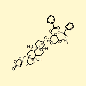 C[C@H]1CO[C@H](O[C@H]2CC[C@]3(C)C4CC[C@]5(C)[C@@H](C6=CC(=O)OC6)CC[C@]5(O)C4CC[C@@H]3C2)C(OC(=O)c2ccccc2)[C@@H]1OC(=O)c1ccccc1